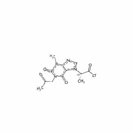 CC(=O)Cn1c(=O)c2c(ncn2[C@@H](C)C(=O)Cl)n(C)c1=O